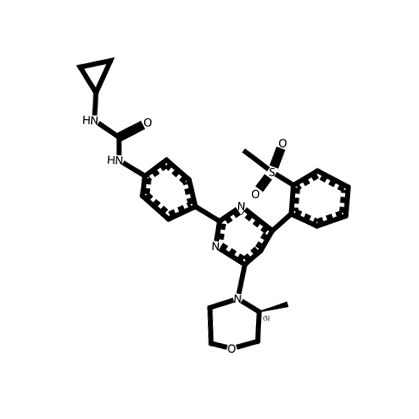 C[C@H]1COCCN1c1cc(-c2ccccc2S(C)(=O)=O)nc(-c2ccc(NC(=O)NC3CC3)cc2)n1